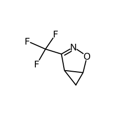 FC(F)(F)C1=NOC2CC12